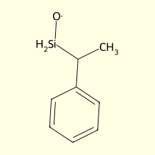 CC([SiH2][O])c1ccccc1